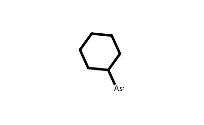 [As]C1CCCCC1